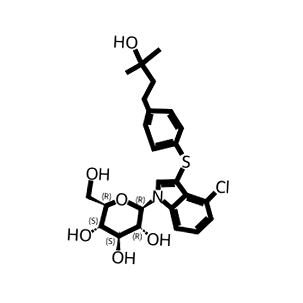 CC(C)(O)CCc1ccc(Sc2cn([C@@H]3O[C@H](CO)[C@@H](O)[C@H](O)[C@H]3O)c3cccc(Cl)c23)cc1